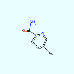 CC(=O)c1ccc(C(N)=O)nc1